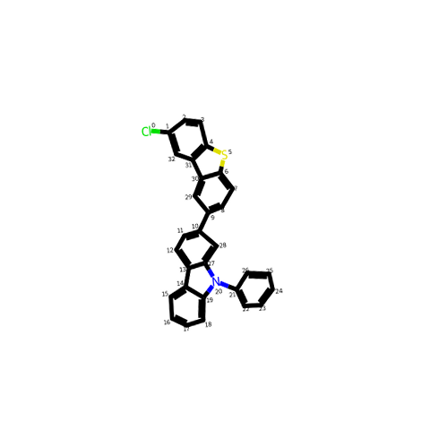 Clc1ccc2sc3ccc(-c4ccc5c6ccccc6n(-c6ccccc6)c5c4)cc3c2c1